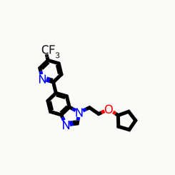 FC(F)(F)c1ccc(-c2ccc3ncn(CCOC4CCCC4)c3c2)nc1